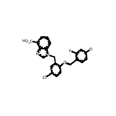 O=C(O)c1cccc2c1ncn2Cc1cc(Cl)ccc1OCc1ccc(Cl)cc1F